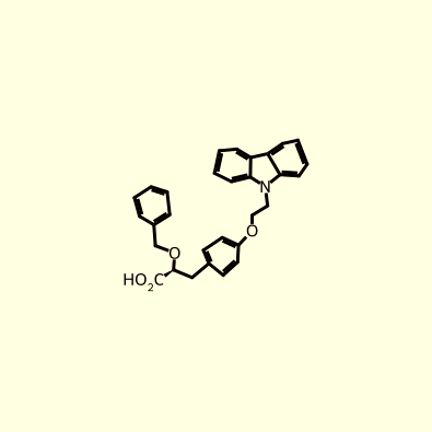 O=C(O)[C@H](Cc1ccc(OCCn2c3ccccc3c3ccccc32)cc1)OCc1ccccc1